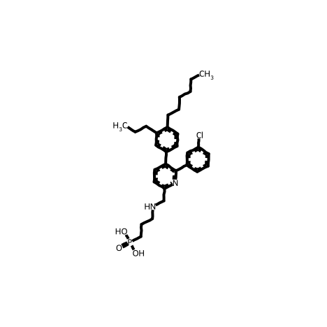 CCCCCCc1ccc(-c2ccc(CNCCCP(=O)(O)O)nc2-c2cccc(Cl)c2)cc1CCC